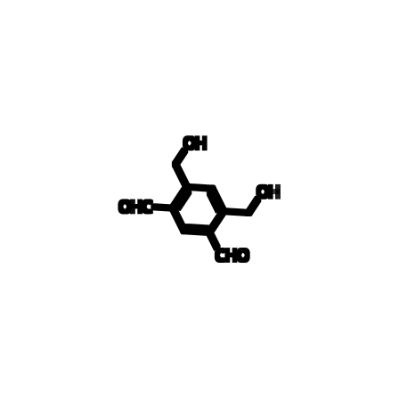 O=Cc1cc(C=O)c(CO)cc1CO